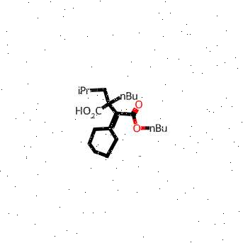 CCCCOC(=O)C(=C1CCCCC1)C(CCCC)(CC(C)C)C(=O)O